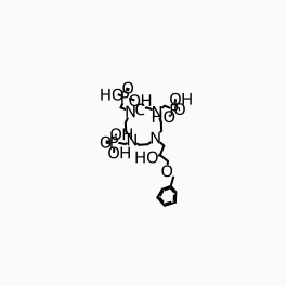 O=P(O)(O)CN1CCN(CC(O)COCc2ccccc2)CCN(CP(=O)(O)O)CCN(CP(=O)(O)O)CC1